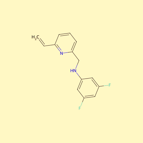 C=Cc1cccc(CNc2cc(F)cc(F)c2)n1